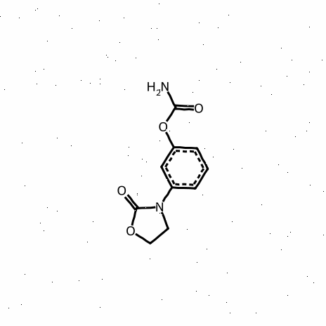 NC(=O)Oc1cccc(N2CCOC2=O)c1